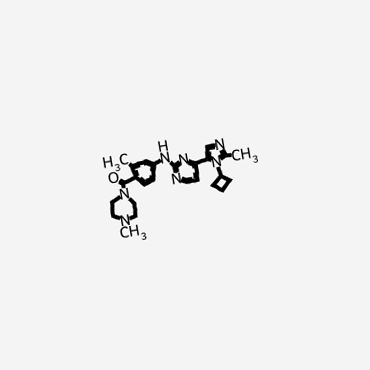 Cc1cc(Nc2nccc(-c3cnc(C)n3C3CCC3)n2)ccc1C(=O)N1CCN(C)CC1